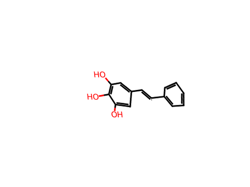 Oc1cc(/C=[C]/c2ccccc2)cc(O)c1O